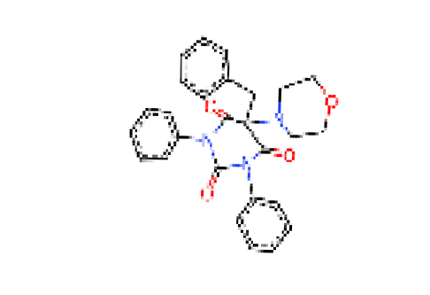 O=C1N(c2ccccc2)C(=O)C(Cc2ccccc2)(N2CCOCC2)C(=O)N1c1ccccc1